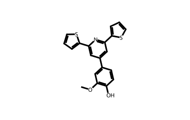 COc1cc(-c2cc(-c3cccs3)nc(-c3cccs3)c2)ccc1O